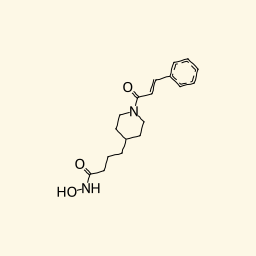 O=C(CCCC1CCN(C(=O)C=Cc2ccccc2)CC1)NO